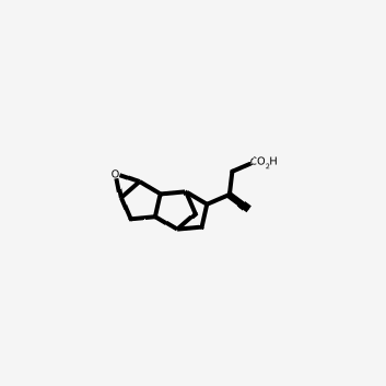 C=C(CC(=O)O)C1CC2CC1C1C2CC2OC21